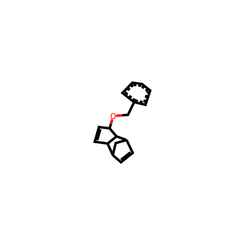 C1=CC2CC1C1C=CC(OCc3ccccc3)C21